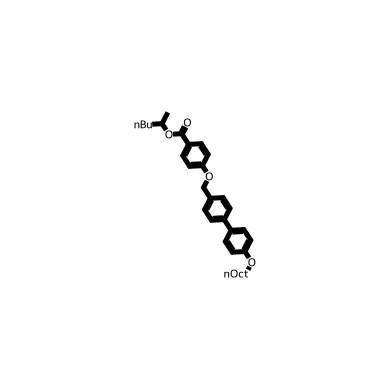 CCCCCCCCOc1ccc(-c2ccc(COc3ccc(C(=O)OC(C)CCCC)cc3)cc2)cc1